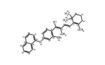 CC1=C(/C=C/C(C)=C(\F)c2ccc(Oc3cccc4ccccc34)cc2O)C(C)(C)CCC1